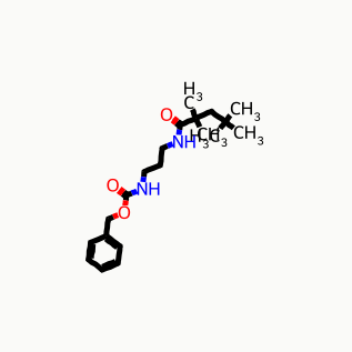 CC(C)(C)CC(C)(C)C(=O)NCCCNC(=O)OCc1ccccc1